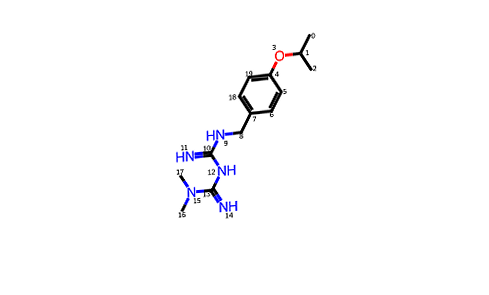 CC(C)Oc1ccc(CNC(=N)NC(=N)N(C)C)cc1